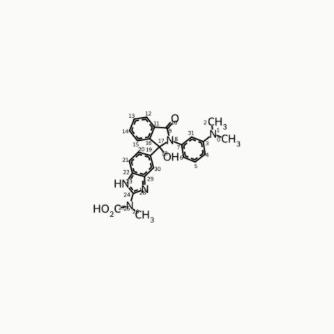 CN(C)c1cccc(N2C(=O)c3ccccc3C2(O)c2ccc3[nH]c(N(C)C(=O)O)nc3c2)c1